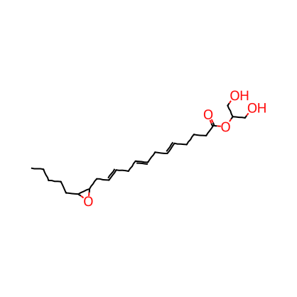 CCCCCC1OC1CC=CCC=CCC=CCCCC(=O)OC(CO)CO